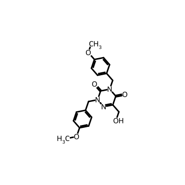 COc1ccc(Cn2nc(CO)c(=O)n(Cc3ccc(OC)cc3)c2=O)cc1